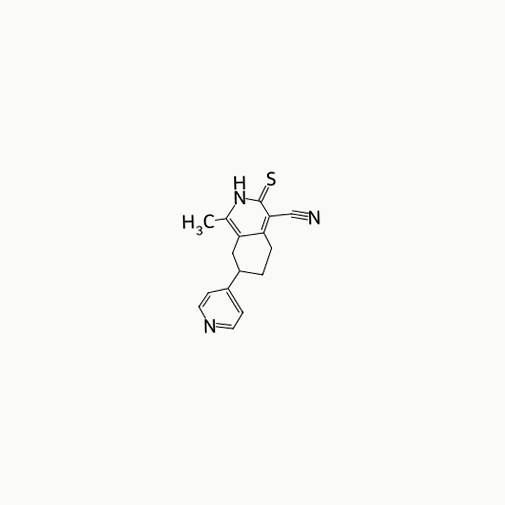 Cc1[nH]c(=S)c(C#N)c2c1CC(c1ccncc1)CC2